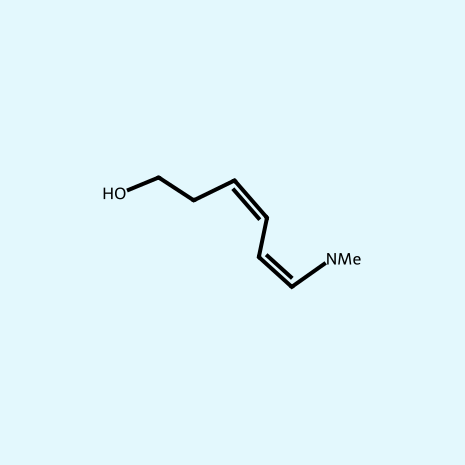 CN/C=C\C=C/CCO